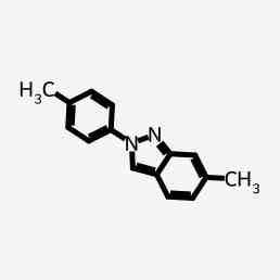 Cc1ccc(-n2cc3ccc(C)cc3n2)cc1